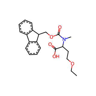 CCOCCC(C(=O)O)N(C)C(=O)OCC1c2ccccc2-c2ccccc21